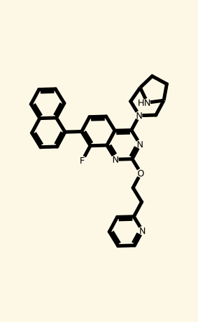 Fc1c(-c2cccc3ccccc23)ccc2c(N3CC4CCC(C3)N4)nc(OCCc3ccccn3)nc12